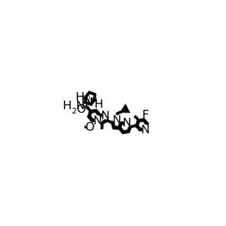 COc1cc(C(=O)N2[C@H]3CC[C@@H]2[C@H](N)C3)cc2nc(-c3cc4ccc(-c5cncc(F)c5C)nc4n3CC3CC3)c(C)n12